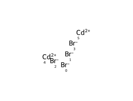 [Br-].[Br-].[Br-].[Br-].[Cd+2].[Cd+2]